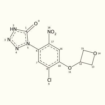 O=c1[nH]nnn1-c1cc(Cl)c(OC2COC2)cc1[N+](=O)[O-]